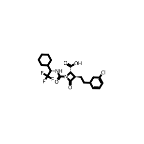 O=C(O)[C@@H]1[C@@H](CCC2C=CC=C(Cl)C2)C(=O)N1C(=O)N[C@@H](C1CCCCC1)C(F)(F)F